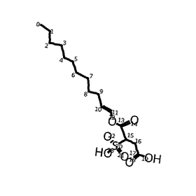 CCCCCCCCCCC=COC(=O)C(CC(=O)O)S(=O)(=O)O